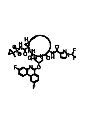 CC1(S(=O)(=O)NC(=O)[C@@]23C[C@H]2/C=C\CCCCC[C@H](NC(=O)c2ccn(C(F)F)n2)C(=O)N2C[C@H](Oc4nc5cc(F)ccc5c5cc(F)ccc45)C[C@H]2C(=O)N3)CC1